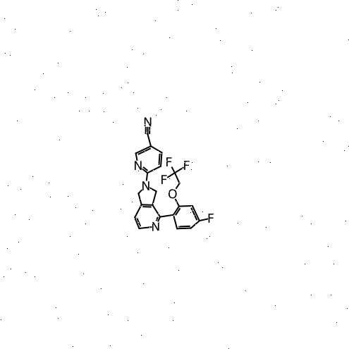 N#Cc1ccc(N2Cc3ccnc(-c4ccc(F)cc4OCC(F)(F)F)c3C2)nc1